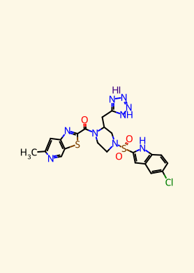 Cc1cc2nc(C(=O)N3CCN(S(=O)(=O)c4cc5cc(Cl)ccc5[nH]4)CC3Cc3nnn[nH]3)sc2cn1.I